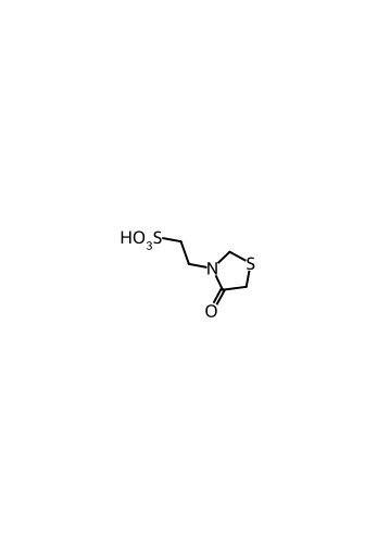 O=C1CSCN1CCS(=O)(=O)O